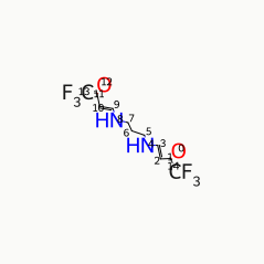 O=C(C=CNCCCNC=CC(=O)C(F)(F)F)C(F)(F)F